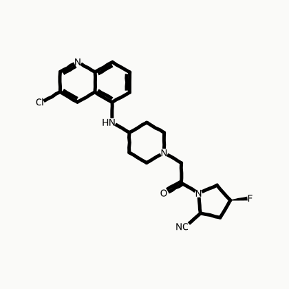 N#CC1C[C@H](F)CN1C(=O)CN1CCC(Nc2cccc3ncc(Cl)cc23)CC1